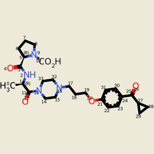 C[C@@H](NC(=O)[C@H]1CCCN1C(=O)O)C(=O)N1CCN(CCCOc2ccc(C(=O)C3CC3)cc2)CC1